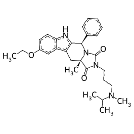 CCOc1ccc2[nH]c3c(c2c1)C[C@@]1(C)C(=O)N(CCCN(C)C(C)C)C(=O)N1[C@@H]3c1ccccc1